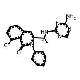 C[C@H](Nc1ncnc(N)n1)c1cc2cccc(Cl)c2c(=O)n1-c1ccccc1